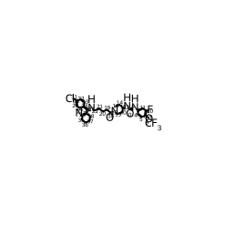 O=C(Nc1ccc(OC(F)(F)F)c(F)c1)NC1CCN(C(=O)CCCCNc2c3c(nc4cc(Cl)ccc24)CCCC3)CC1